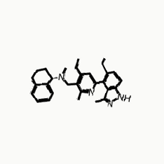 CCc1cc(-c2c(CC)ccc3[nH]nc(C)c23)nc(C)c1CN(C)[C@H]1CCCc2ccccc21